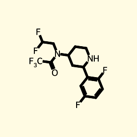 O=C(N(CC(F)F)C1CCNC(c2cc(F)ccc2F)C1)C(F)(F)F